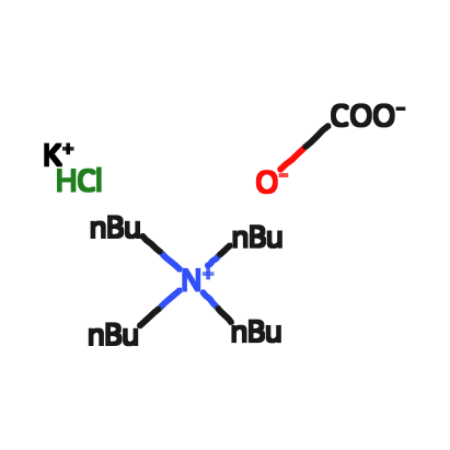 CCCC[N+](CCCC)(CCCC)CCCC.Cl.O=C([O-])[O-].[K+]